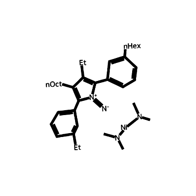 CCCCCCCCC1=C(c2cccc(CC)c2)[N+](=[N-])C(c2cccc(CCCCCC)c2)=C1CC.C[N](C)[Ni][N](C)C